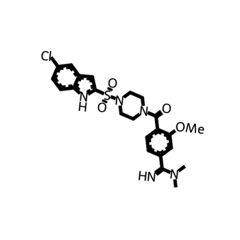 COc1cc(C(=N)N(C)C)ccc1C(=O)N1CCN(S(=O)(=O)c2cc3cc(Cl)ccc3[nH]2)CC1